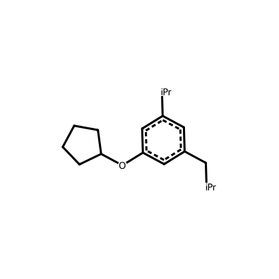 CC(C)Cc1cc(OC2CCCC2)cc(C(C)C)c1